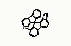 Clc1cccc2c1C1(c3ccccc3-c3ccccc31)c1c-2ccc2ccccc12